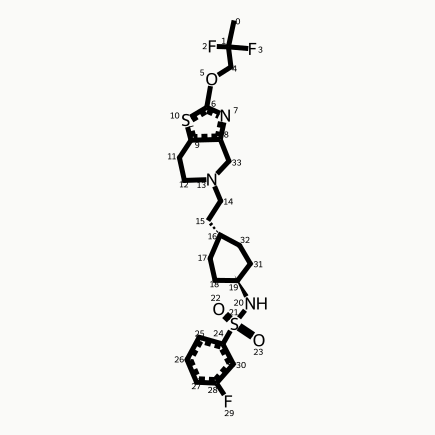 CC(F)(F)COc1nc2c(s1)CCN(CC[C@H]1CC[C@H](NS(=O)(=O)c3cccc(F)c3)CC1)C2